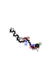 CC/C=C\C/C=C\C/C=C\C/C=C\C/C=C\C/C=C\CCC(=O)NC(CCCCNC(=O)C(C)(C)Oc1ccc(Cl)cc1)C(=O)OC